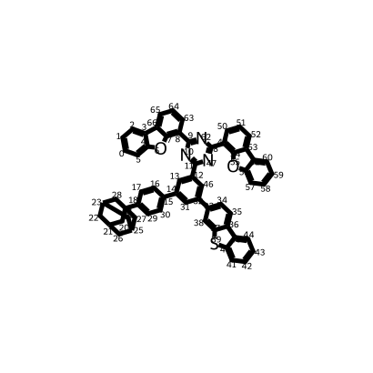 c1ccc2c(c1)oc1c(-c3nc(-c4cc(-c5ccc(C67CC8CC(CC(C8)C6)C7)cc5)cc(-c5ccc6c(c5)sc5ccccc56)c4)nc(-c4cccc5c4oc4ccccc45)n3)cccc12